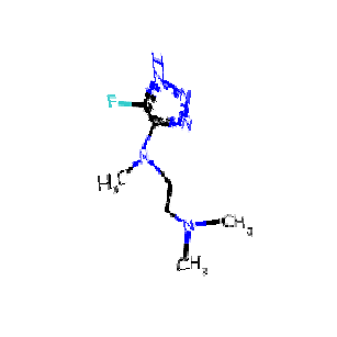 CN(C)CCN(C)c1nn[nH]c1F